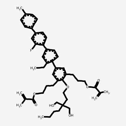 C=C(C)C(=O)OCCCc1cc(-c2ccc(-c3ccc(-c4ccc(C)cc4)cc3F)cc2CC)cc(CCCOC(=O)C(=C)C)c1OCCC(CO)(CO)CCCC